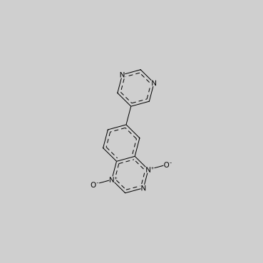 [O-][n+]1cn[n+]([O-])c2cc(-c3cncnc3)ccc21